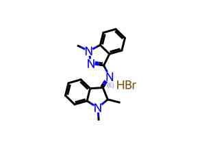 Br.CC1/C(=N/c2nn(C)c3ccccc23)c2ccccc2N1C